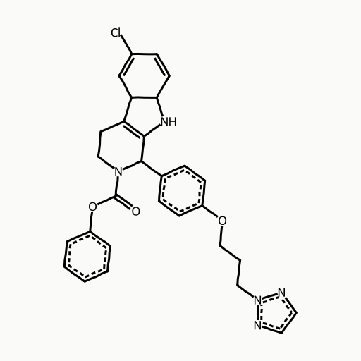 O=C(Oc1ccccc1)N1CCC2=C(NC3C=CC(Cl)=CC23)C1c1ccc(OCCCn2nccn2)cc1